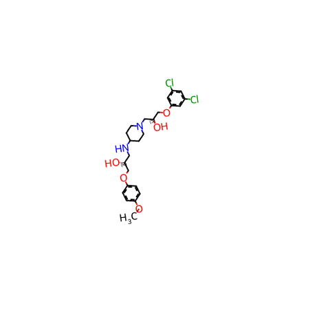 COc1ccc(OC[C@H](O)CNC2CCN(C[C@H](O)COc3cc(Cl)cc(Cl)c3)CC2)cc1